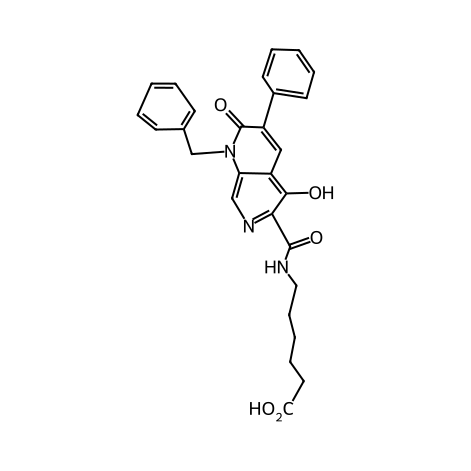 O=C(O)CCCCCNC(=O)c1ncc2c(cc(-c3ccccc3)c(=O)n2Cc2ccccc2)c1O